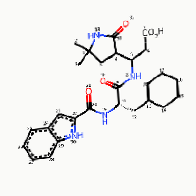 CC1(C)CC(C(CC(=O)O)NC(=O)[C@H](CC2CCCCC2)NC(=O)c2cc3ccccc3[nH]2)C(=O)N1